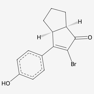 O=C1C(Br)=C(c2ccc(O)cc2)[C@H]2CCC[C@@H]12